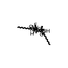 C#C[C@]1(CO)O[C@@H](n2cnc3c(NC(=O)CCCCCCCCC)nc(F)nc32)C[C@@H]1OC(=O)CCCCCCCCC